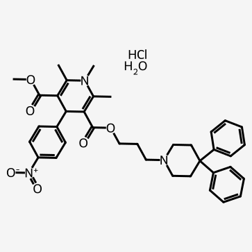 COC(=O)C1=C(C)N(C)C(C)=C(C(=O)OCCCN2CCC(c3ccccc3)(c3ccccc3)CC2)C1c1ccc([N+](=O)[O-])cc1.Cl.O